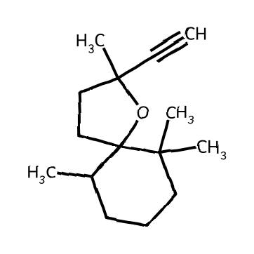 C#CC1(C)CCC2(O1)C(C)CCCC2(C)C